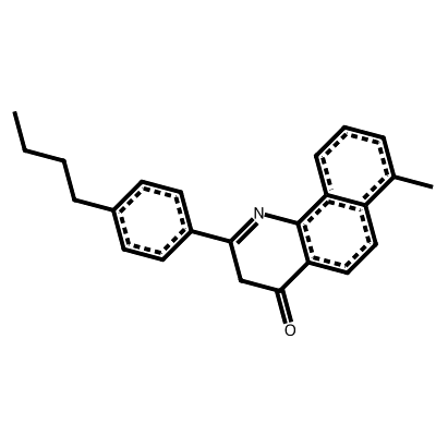 CCCCc1ccc(C2=Nc3c(ccc4c(C)cccc34)C(=O)C2)cc1